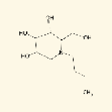 CCCCN1CC(O)C(O)[C@H](O)C1CO